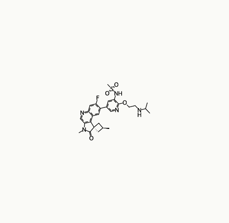 CC(C)NCCOc1ncc(-c2cc3c(cc2F)ncc2c3[C@]3(C[C@H](C)C3)C(=O)N2C)cc1NS(C)(=O)=O